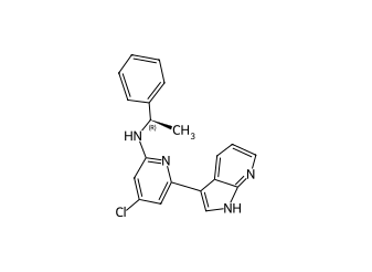 C[C@@H](Nc1cc(Cl)cc(-c2c[nH]c3ncccc23)n1)c1ccccc1